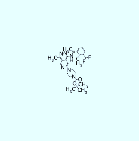 Cc1c(C(F)F)cccc1[C@@H](C)Nc1nnc(C)c2cnc(N3CCN(C(=O)OC(C)(C)C)CC3)cc12